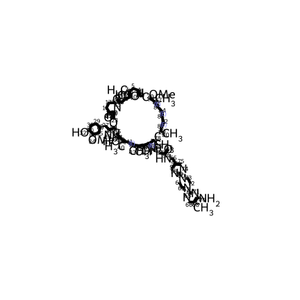 CO[C@H]1C[C@@H]2CC[C@@H](C)[C@@](O)(O2)C(=O)C(=O)N2CCCC[C@H]2C(=O)O[C@H]([C@H](N)C[C@@H]2CC[C@@H](O)[C@H](OC)C2)C[C@@H](O)[C@H](C)/C=C(\C)[C@@H](O)[C@@H](O)/C(=N/OCC(=O)NCc2cnc(N3CCN(c4ncc(C)c(N)n4)CC3)nc2)[C@H](C)C[C@H](C)/C=C/C=C/C=C/1C